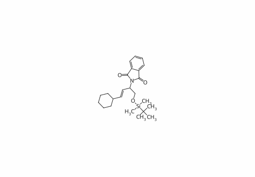 CC(C)(C)[Si](C)(C)OCC(C=CC1CCCCC1)N1C(=O)c2ccccc2C1=O